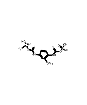 COc1cc(NC(=S)OP(N)(=O)O)ccc1NC(=S)OP(N)(=O)O